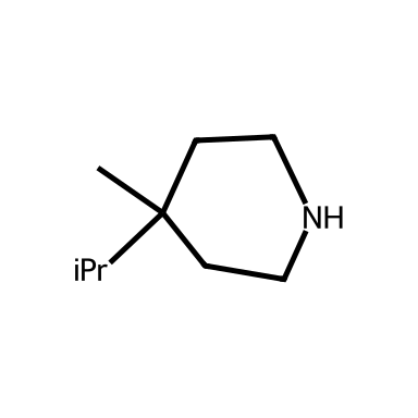 [CH2]C(C)C1(C)CCNCC1